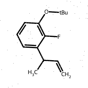 C=C[C](C)c1cccc(OC(C)(C)C)c1F